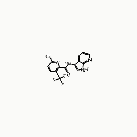 O=C(Nc1c[nH]c2ncccc12)c1nc(Cl)ccc1C(F)(F)F